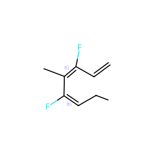 C=C/C(F)=C(C)\C(F)=C/CC